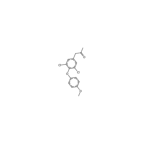 COc1ccc(Oc2c(Cl)cc(CC(C)=O)cc2Cl)cc1